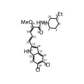 CCC1CCCN(NC(=O)C(=CC=Cc2cc3cc(Cl)c(Cl)cc3[nH]2)OC)C1